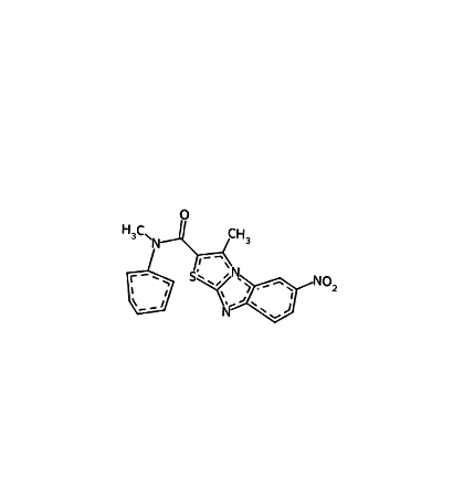 Cc1c(C(=O)N(C)c2ccccc2)sc2nc3ccc([N+](=O)[O-])cc3n12